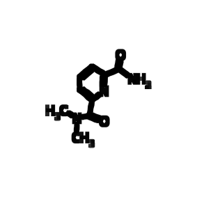 CN(C)C(=O)c1cccc(C(N)=O)n1